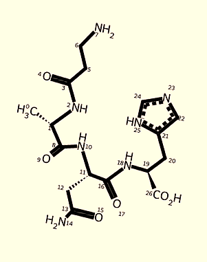 C[C@H](NC(=O)CCN)C(=O)N[C@@H](CC(N)=O)C(=O)N[C@@H](Cc1cnc[nH]1)C(=O)O